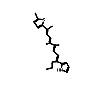 CCC\C(=C/C=C(C)/C(C)=C/C=C(\C)c1ccc(C)s1)c1ccc[nH]1